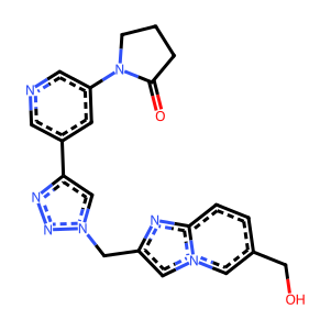 O=C1CCCN1c1cncc(-c2cn(Cc3cn4cc(CO)ccc4n3)nn2)c1